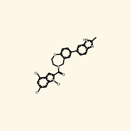 CCn1c(C(=O)N2CCOc3ccc(-c4ccc5nc(C)[nH]c5c4)cc3C2)cc2c(Cl)cc(Cl)cc21